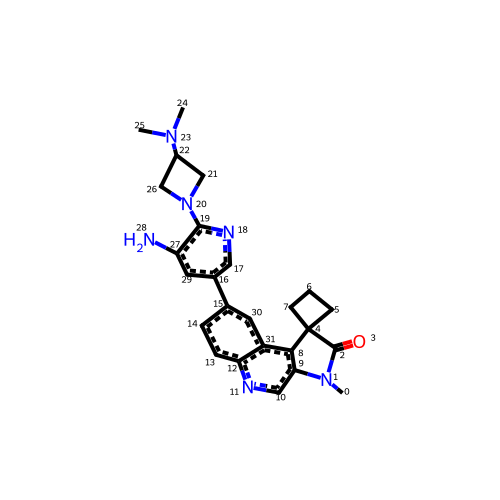 CN1C(=O)C2(CCC2)c2c1cnc1ccc(-c3cnc(N4CC(N(C)C)C4)c(N)c3)cc21